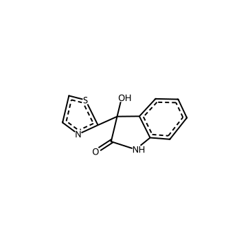 O=C1Nc2ccccc2C1(O)c1nccs1